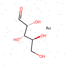 O=C[C@H](O)[C@@H](O)[C@@H](O)CO.[Au]